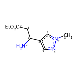 CCOC(=O)CC(N)c1cnn(C)c1